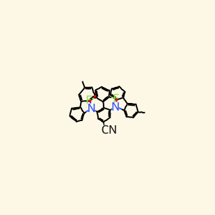 Cc1ccc2c(c1)c1ccccc1n2-c1cc(C#N)cc(-n2c3ccccc3c3cc(C)ccc32)c1-c1c(F)cccc1F